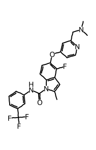 Cc1cc2c(F)c(Oc3ccnc(CN(C)C)c3)ccc2n1C(=O)Nc1cccc(C(F)(F)F)c1